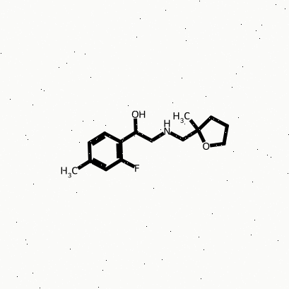 Cc1ccc(C(O)CNCC2(C)CCCO2)c(F)c1